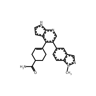 Cn1ncc2cc(-c3cnc4[nH]ccc4c3C3=CCC(C(N)=O)CC3)ccc21